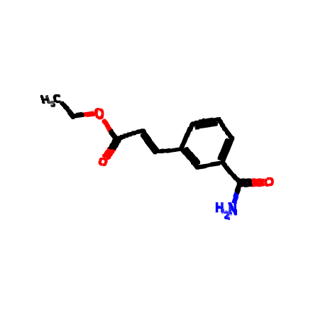 CCOC(=O)/C=C/c1cccc(C(N)=O)c1